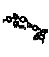 Nc1nccc(-c2c(-c3ccc(F)cc3)ncn2C2CCN(CCCNC3CCN(C[C@](O)(Cn4cncn4)c4ccc(F)cc4F)CC3)CC2)n1